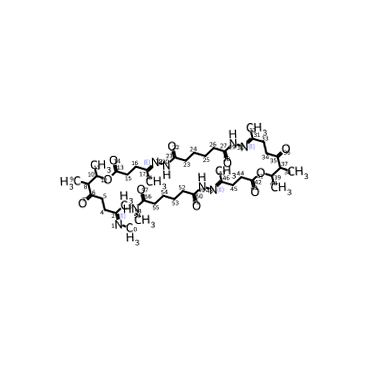 C/N=C(\C)CCC(=O)C(C)C(C)OC(=O)CC/C(C)=N/NC(=O)CCCCC(=O)N/N=C(\C)CCC(=O)C(C)C(C)OC(=O)CC/C(C)=N/NC(=O)CCCCC(=O)NC